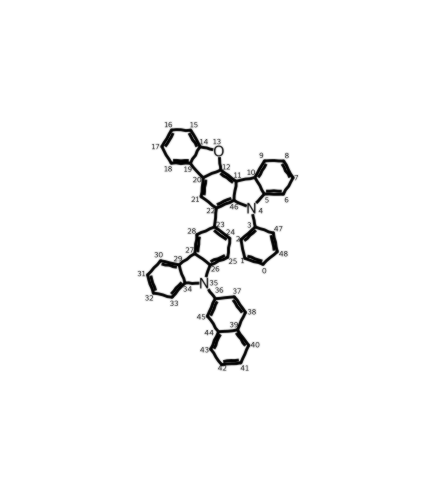 c1ccc(-n2c3ccccc3c3c4oc5ccccc5c4cc(-c4ccc5c(c4)c4ccccc4n5-c4ccc5ccccc5c4)c32)cc1